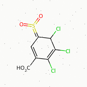 O=C(O)C1=CC(=S(=O)=O)C(Cl)C(Cl)=C1Cl